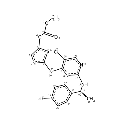 COC(=O)Oc1cnc(Nc2nc(N[C@@H](C)c3ccc(F)cc3)ncc2Cl)s1